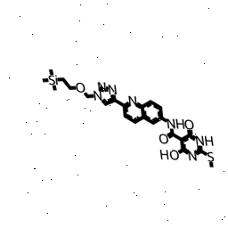 CSc1nc(O)c(C(=O)Nc2ccc3nc(-c4cn(COCC[Si](C)(C)C)nn4)ccc3c2)c(=O)[nH]1